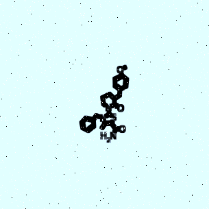 COc1ccc(CC2CCCN(C3SC(C(N)=O)=C(C)N3Cc3ccccc3)C2=O)cc1